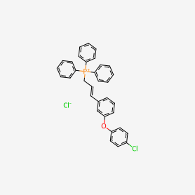 Clc1ccc(Oc2cccc(/C=C/C[P+](c3ccccc3)(c3ccccc3)c3ccccc3)c2)cc1.[Cl-]